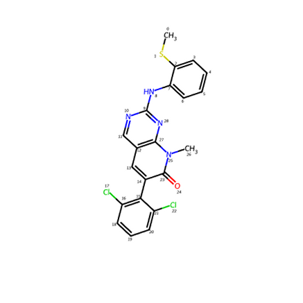 CSc1ccccc1Nc1ncc2cc(-c3c(Cl)cccc3Cl)c(=O)n(C)c2n1